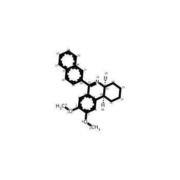 COc1cc2c(cc1OC)[C@@H]1CCCC[C@@H]1N=C2c1ccc2ccccc2c1